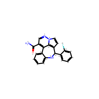 NC(=O)c1cnn2ccc3c2c1-c1ccccc1NC3c1ccccc1F